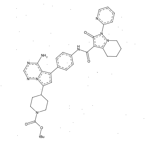 CC(C)(C)OC(=O)N1CCC(c2cc(-c3ccc(NC(=O)c4c5n(n(-c6ccccn6)c4=O)CCCC5)cc3)c3c(N)ncnn23)CC1